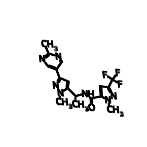 Cc1ncc(-c2cc(C(C)NC(=O)c3cc(C(F)(F)F)nn3C)n(C)n2)cn1